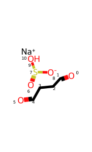 O=CCCC=O.O=S([O-])O.[Na+]